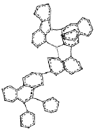 c1ccc(-c2ccccc2N(c2cccc(-c3ccc4c(c3)c(-c3ccccc3)c(-c3ccccc3)c3ccccc34)c2)c2cccc3c4ccccc4n(-c4ccc5ccccc5c4)c23)cc1